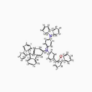 c1ccc(C2(c3ccccc3)c3ccccc3-c3cc(N(c4ccc(-c5cccc6c5oc5ccccc56)cc4)c4ccc(-n5c6ccccc6c6ccccc65)cc4)ccc32)cc1